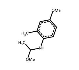 COc1ccc(NC(C)OC)c(C)c1